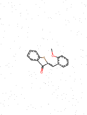 COc1ccccc1C=C1Sc2ccccc2C1=O